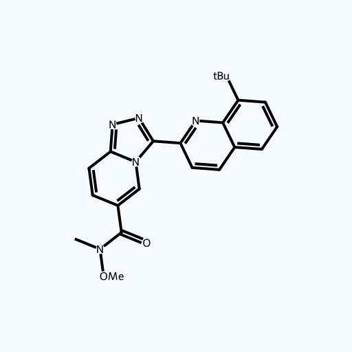 CON(C)C(=O)c1ccc2nnc(-c3ccc4cccc(C(C)(C)C)c4n3)n2c1